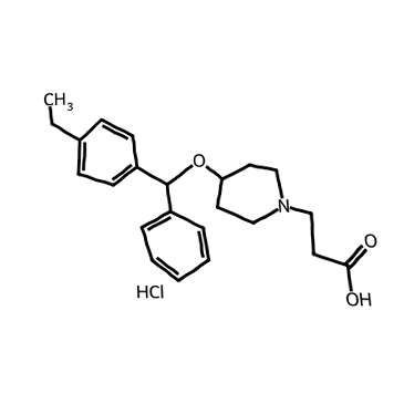 CCc1ccc(C(OC2CCN(CCC(=O)O)CC2)c2ccccc2)cc1.Cl